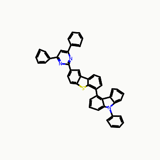 c1ccc(-c2cc(-c3ccccc3)nc(-c3ccc4sc5c(-c6cccc7c6c6ccccc6n7-c6ccccc6)cccc5c4c3)n2)cc1